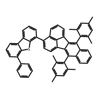 Cc1cc(C)c(-c2c3c(c(-c4c(C)cc(C)cc4C)c4ccccc24)-c2ccc(-c4cccc5c4sc4c(-c6ccccc6)cccc45)c4cccc-3c24)c(C)c1